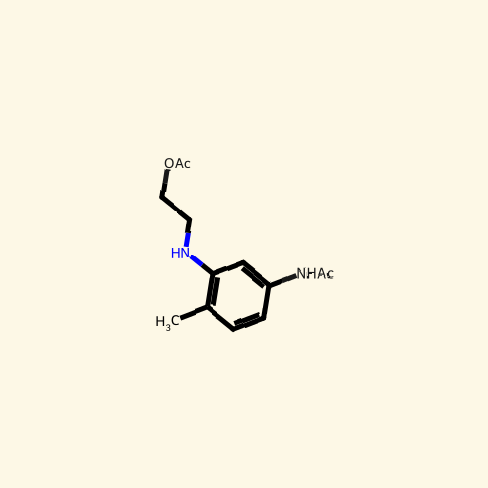 CC(=O)Nc1ccc(C)c(NCCOC(C)=O)c1